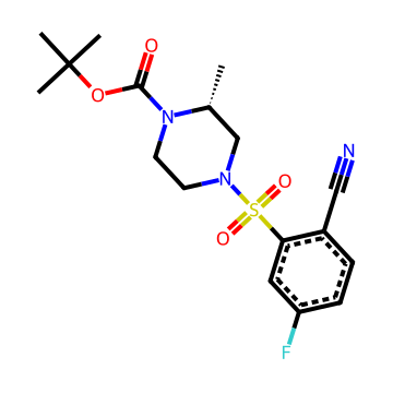 C[C@@H]1CN(S(=O)(=O)c2cc(F)ccc2C#N)CCN1C(=O)OC(C)(C)C